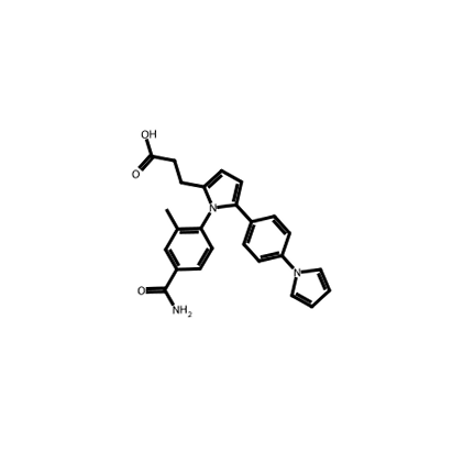 Cc1cc(C(N)=O)ccc1-n1c(CCC(=O)O)ccc1-c1ccc(-n2cccc2)cc1